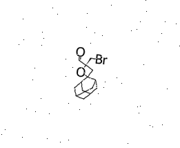 O=C[C@]1(CBr)CC2(O1)C1CC3CC(C1)CC2C3